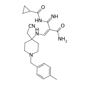 Cc1ccc(CN2CCC(CC#N)(N/C=C(\C(=N)NC(=O)C3CC3)C(N)=O)CC2)cc1